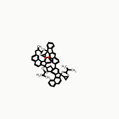 C=C(C)C(=O)OC1(C2CCCC2)c2ccccc2-c2c1ccc1ccc(CC(=C)C(=O)OC3(C4CC4)c4ccccc4-c4cc5ccc(-c6ccc7c(c6)C(OC(=O)C(=C)C)(C6CC6)c6ccc8ccccc8c6-7)cc5cc43)cc21